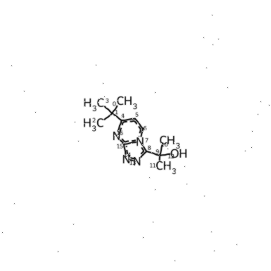 CC(C)(C)c1ccn2c(C(C)(C)O)nnc2n1